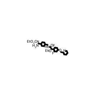 CCOC(=O)/N=C(\N)c1ccc(CNC(=O)C(OCC)c2c(F)cc(OCc3ccccn3)cc2F)cc1